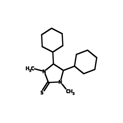 CN1C(=S)N(C)C(C2CCCCC2)C1C1CCCCC1